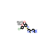 COC(=O)C(OC(C)(C)C)c1c(C)cc2nc(-c3cnc(C)c(-c4ccc5c(cnn5C)n4)c3)sc2c1-c1ccc(Cl)cc1